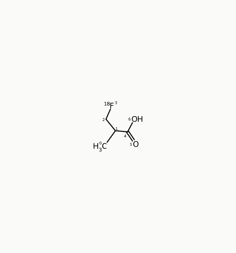 CC(C[18F])C(=O)O